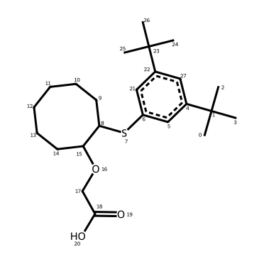 CC(C)(C)c1cc(SC2CCCCCCC2OCC(=O)O)cc(C(C)(C)C)c1